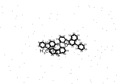 CC1(C)c2ccccc2-c2ccc(N(C3=CC=CC4c5c(cc(-c6ccccc6)c6ccccc56)OC34)c3cccc4sc5ccccc5c34)cc21